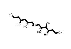 OCCC(O)C[C@@H](O)CNC[C@H](O)C(O)C(O)CCO